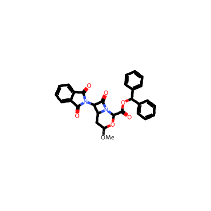 COC1CC2C(N3C(=O)c4ccccc4C3=O)C(=O)N2C(C(=O)OC(c2ccccc2)c2ccccc2)O1